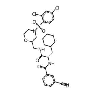 N#Cc1cccc(C(=O)N[C@@H](CC2CCCCC2)C(=O)NCC2CN(S(=O)(=O)c3ccc(Cl)cc3Cl)CCO2)c1